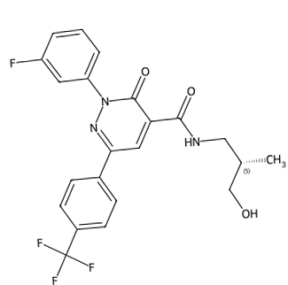 C[C@H](CO)CNC(=O)c1cc(-c2ccc(C(F)(F)F)cc2)nn(-c2cccc(F)c2)c1=O